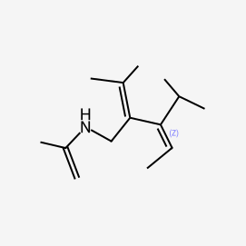 C=C(C)NCC(=C(C)C)/C(=C\C)C(C)C